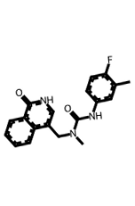 Cc1cc(NC(=O)N(C)Cc2c[nH]c(=O)c3ccccc23)ccc1F